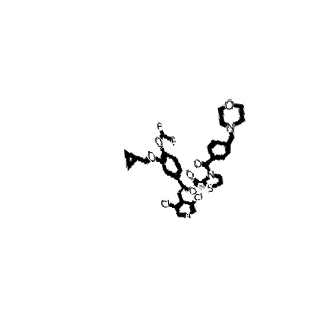 O=C(O[C@@H](Cc1c(Cl)cncc1Cl)c1ccc(OC(F)F)c(OCC2CC2)c1)[C@@H]1SCCN1C(=O)c1ccc(CN2CCOCC2)cc1